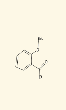 CCC(=O)c1ccccc1OC(C)(C)C